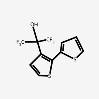 OC(c1ccsc1-c1cccs1)(C(F)(F)F)C(F)(F)F